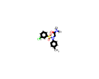 CCN(CC)C(=O)CN(c1ccc(C)cc1)S(=O)(=O)c1cccc(Cl)c1